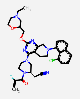 C=C(F)C(=O)N1CCN(c2nc(OCC3CN(CC)CCO3)nc3c2CCN(c2cccc4cccc(Cl)c24)C3)C[C@@H]1CC#N